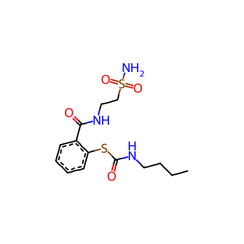 CCCCNC(=O)Sc1ccccc1C(=O)NCCS(N)(=O)=O